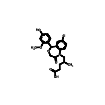 COc1cc(O)ccc1C1OCC(=O)N(CC(C)CCC(=O)O)c2ccc(Cl)cc21